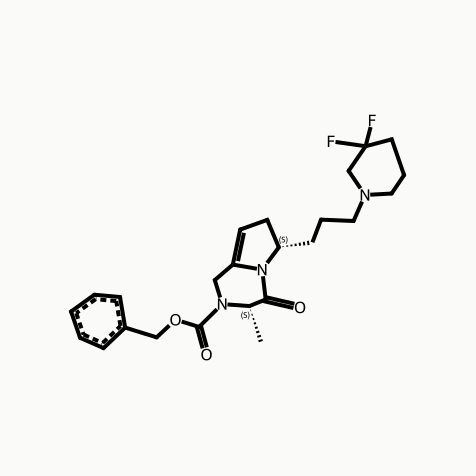 C[C@H]1C(=O)N2C(=CC[C@@H]2CCCN2CCCC(F)(F)C2)CN1C(=O)OCc1ccccc1